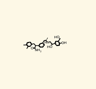 Cc1ccc(CC(C(N)=O)c2cccc(C[C@@H](C)NC[C@H](O)c3ccc(O)c(CO)c3)c2)cc1C